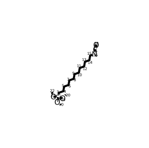 CO[Si](CCCCCCCCCCCCCN=C=O)(OC)OC